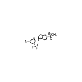 CS(=O)(=O)c1ccc2c(ccn2Cc2ncc(Br)cc2C(F)(F)F)c1